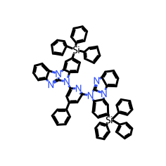 c1ccc(-c2cc(-n3c4ccc([Si](c5ccccc5)(c5ccccc5)c5ccccc5)cc4n4c5ccccc5nc34)nc(-n3c4ccc([Si](c5ccccc5)(c5ccccc5)c5ccccc5)cc4n4c5ccccc5nc34)c2)cc1